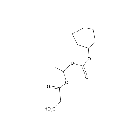 CC(OC(=O)CC(=O)O)OC(=O)OC1CCCCC1